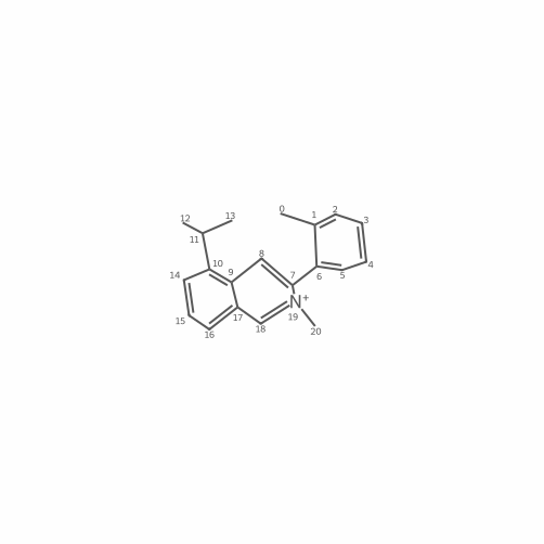 Cc1ccccc1-c1cc2c(C(C)C)cccc2c[n+]1C